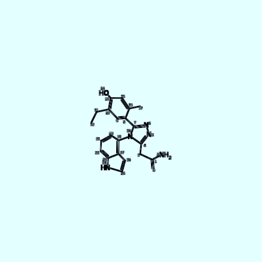 C=C(N)Cc1nnc(-c2cc(CC)c(O)cc2C)n1-c1cccc2[nH]ccc12